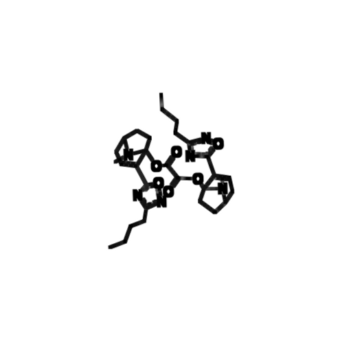 CCCCc1noc(C2=CCC3CCC2(OC(=O)C(=O)OC24CCC(CC=C2c2nc(CCCC)no2)N4C)N3C)n1